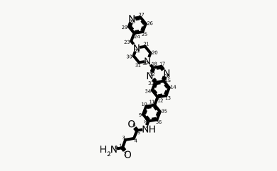 NC(=O)CCC(=O)Nc1ccc(-c2ccc3ncc(N4CCN(Cc5cccnc5)CC4)nc3c2)cc1